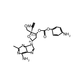 C#C[C@]1(COC)O[C@@H](n2cnc3c(N)nc(C)nc32)C[C@@H]1OC(=O)Oc1ccc(N)cc1